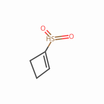 O=[SH](=O)C1=CCC1